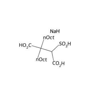 CCCCCCCCC(CCCCCCCC)(C(=O)O)C(C(=O)O)S(=O)(=O)O.[NaH]